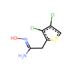 NC(Cc1scc(Cl)c1Cl)=NO